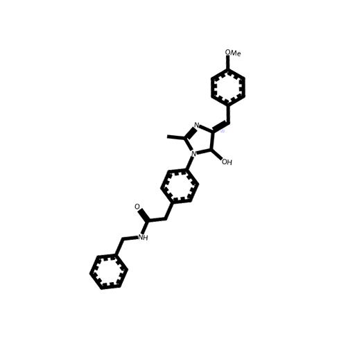 COc1ccc(/C=C2\N=C(C)N(c3ccc(CC(=O)NCc4ccccc4)cc3)C2O)cc1